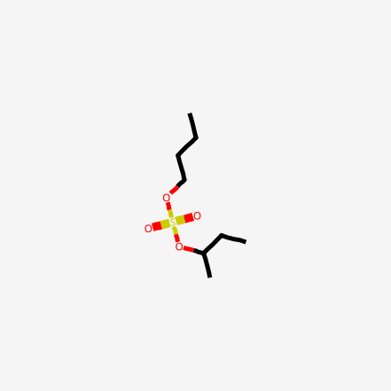 CCCCOS(=O)(=O)OC(C)CC